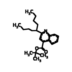 CCCCC(CCCC)c1cc(C(=O)OC(C)(C)C)c2ccccc2n1